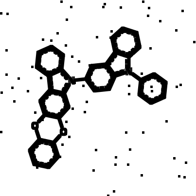 c1ccc(-n2c3ccccc3c3cc(-n4c5ccccc5c5cc6c(cc54)Oc4ccccc4O6)ccc32)cc1